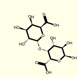 O=C(O)[C@H]1O[C@H](O[C@@H]2[C@H](O)[C@@H](O)[C@@H](O)O[C@@H]2C(=O)O)[C@H](O)[C@@H](O)[C@H]1O